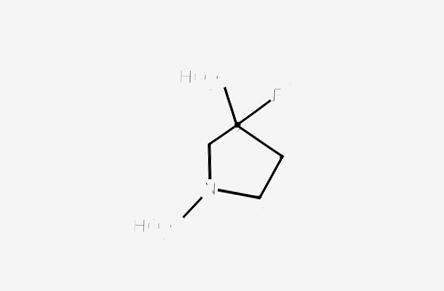 O=C(O)N1CCC(F)(C(=O)O)C1